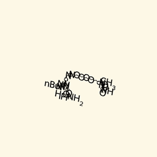 CCCCNc1ncc2c(-c3ccc(CN4CCN(CCOCCOCCOCCOCCCc5ccc6c(c5)n(C)c(=O)n6C5CCC(=O)NC5=O)CC4)cc3)nn([C@H]3CC[C@H](OC(=O)[C@@H](N)C(C)C)CC3)c2n1